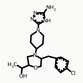 CC(O)C1CN(C2CCN(c3nnc(N)[nH]3)CC2)C(Cc2ccc(Cl)cc2)CO1